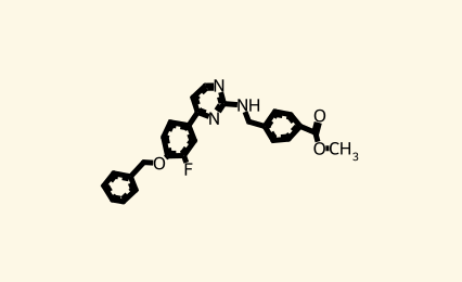 COC(=O)c1ccc(CNc2nccc(-c3ccc(OCc4ccccc4)c(F)c3)n2)cc1